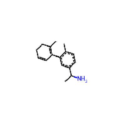 CC1=C(c2cc(C(C)N)ccc2C)C=CCC1